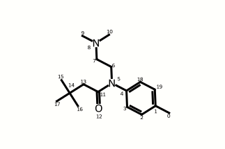 Cc1ccc(N(CCN(C)C)C(=O)CC(C)(C)C)cc1